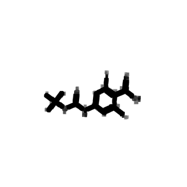 CC(C)(C)OC(=O)Nc1cc(I)c(C(=O)O)c(I)c1